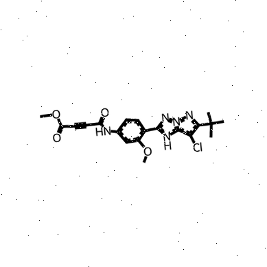 COC(=O)C#CC(=O)Nc1ccc(-c2nn3nc(C(C)(C)C)c(Cl)c3[nH]2)c(OC)c1